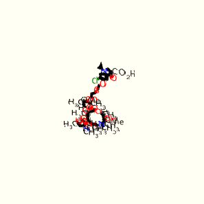 CC[C@H]1OC(=O)[C@H](C)[C@@H](OC2C[C@@](C)(OC)[C@@H](OC(=O)CCOCCOc3cc4c(=O)c(C(=O)O)cn(C5CC5)c4cc3Cl)[C@H](C)O2)[C@H](C)[C@@H](O[C@@H]2O[C@H](C)C[C@H](N(C)C)[C@H]2O)[C@](C)(O)C[C@@H](C)CN(C)[C@H](C)[C@@H](OC)[C@]1(C)O